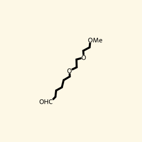 COCCOCCOCCCCCC=O